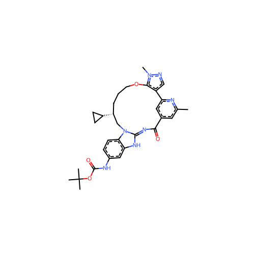 Cc1cc2cc(n1)-c1cnn(C)c1OCCC[C@@H](C1CC1)CN1/C(=N/C2=O)Nc2cc(NC(=O)OC(C)(C)C)ccc21